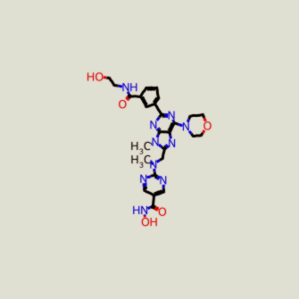 CN(Cc1nc2c(N3CCOCC3)nc(-c3cccc(C(=O)NCCO)c3)nc2n1C)c1ncc(C(=O)NO)cn1